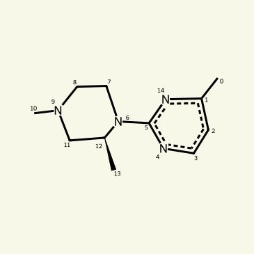 Cc1ccnc(N2CCN(C)C[C@@H]2C)n1